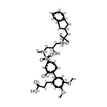 COc1cc(CCC(=O)O)c(-c2ccc(S(=O)(=O)N(C)C[C@H](O)CNC(C)(C)CC3Cc4ccccc4C3)cc2Cl)cc1OC